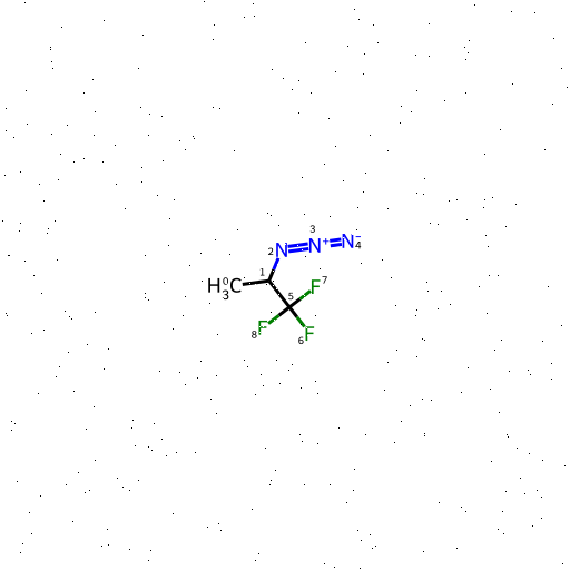 CC(N=[N+]=[N-])C(F)(F)F